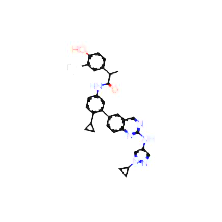 CC(C(=O)Nc1ccc(C2CC2)c(-c2ccc3nc(Nc4cnn(C5CC5)c4)ncc3c2)c1)c1ccc(O)c(C(F)(F)F)c1